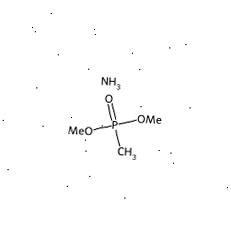 COP(C)(=O)OC.N